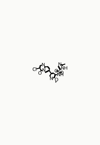 COc1ncc(-c2ccc3ncc(Cl)c(=O)n3c2)cc1NS(=O)(=O)c1cnc(C)[nH]1